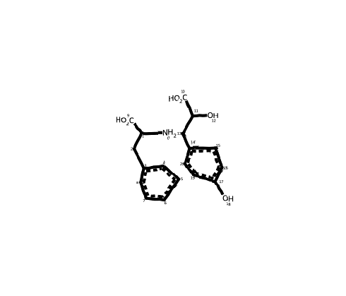 NC(Cc1ccccc1)C(=O)O.O=C(O)C(O)Cc1ccc(O)cc1